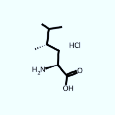 CC(C)[C@@H](C)C[C@H](N)C(=O)O.Cl